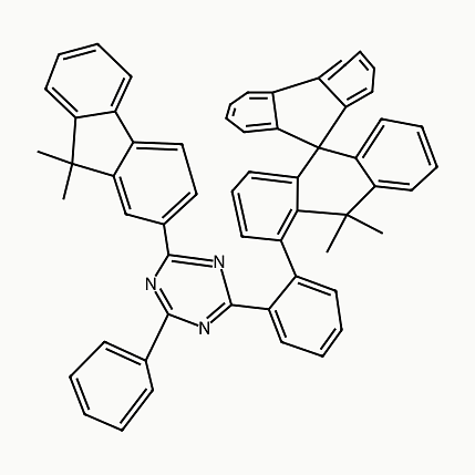 CC1(C)c2ccccc2-c2ccc(-c3nc(-c4ccccc4)nc(-c4ccccc4-c4cccc5c4C(C)(C)c4ccccc4C54c5ccccc5-c5ccccc54)n3)cc21